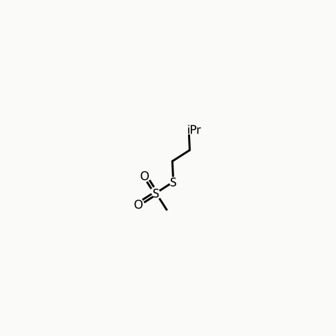 CC(C)CCSS(C)(=O)=O